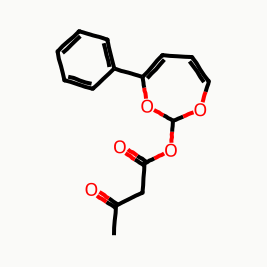 CC(=O)CC(=O)OC1OC=CC=C(c2ccccc2)O1